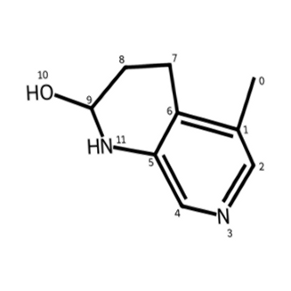 Cc1cncc2c1CCC(O)N2